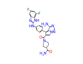 NC(=O)C1CCN(C(=O)c2cn3ncnc(N)c3c2-c2ccc(Nc3nc4cc(F)cc(F)c4[nH]3)cc2)CC1